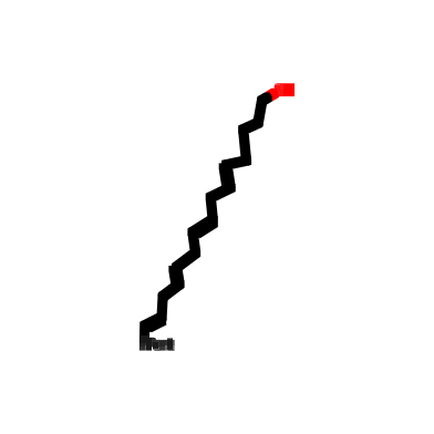 CCCCC/C=C/C/C=C/C/C=C/C/C=C/CCCCO